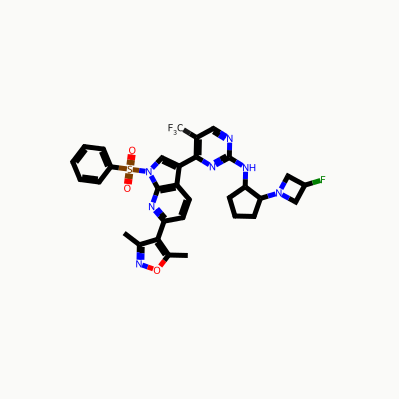 Cc1noc(C)c1-c1ccc2c(-c3nc(NC4CCCC4N4CC(F)C4)ncc3C(F)(F)F)cn(S(=O)(=O)c3ccccc3)c2n1